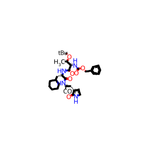 C[C@@H](OC(C)(C)C)[C@H](NC(=O)OCc1ccccc1)C(=O)N[C@@H](CC1CCCCC1)C(=O)N[C@@H](C[C@@H]1CCNC1=O)C(=O)O